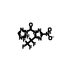 O=C(n1cncn1)n1nc([N+](=O)[O-])nc1C(F)(F)C(F)(F)F